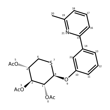 CC(=O)O[C@@H]1[C@@H](OC(C)=O)[C@H](OC(C)=O)CS[C@H]1Oc1cccc(-c2cccc(C)n2)c1